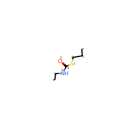 CC[CH]SC(=O)NCC